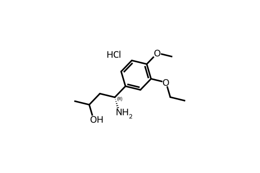 CCOc1cc([C@H](N)CC(C)O)ccc1OC.Cl